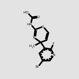 CC1(c2cc(Br)cnc2F)C=CSC(NC(=O)O)=N1